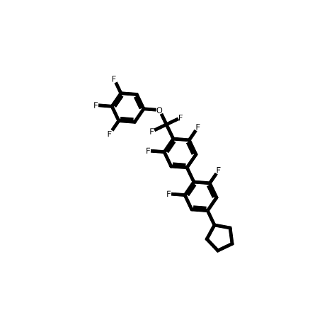 Fc1cc(OC(F)(F)c2c(F)cc(-c3c(F)cc(C4CCCC4)cc3F)cc2F)cc(F)c1F